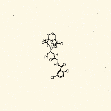 CC(C)C[C@H](NC(=O)CNC(=O)c1cc(Cl)ccc1Cl)B1OC(=O)[C@@H]2CSC[C@@H](C(=O)O1)N2C